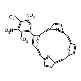 O=[N+]([O-])c1cc(C2=CC3=CC4=NC(=CC5=NC(=CC6=NC(=CC2=N3)C=C6)C=C5)C=C4)c([N+](=O)[O-])c([N+](=O)[O-])c1[N+](=O)[O-]